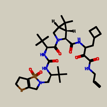 C=CCNC(=O)C(=O)C(CC1CCC1)NC(=O)[C@@H]1[C@@H]2[C@H](CN1C(=O)[C@@H](NC(=O)N[C@H](CN1CC3=C(CCS3)S1(=O)=O)C(C)(C)C)C(C)(C)C)C2(C)C